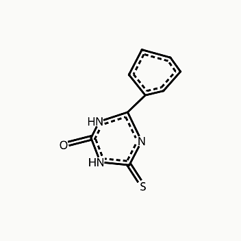 O=c1[nH]c(-c2ccccc2)nc(=S)[nH]1